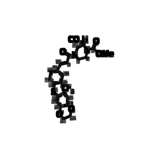 COC(=O)N1CCN(C(=O)C=Cc2ccc(Sc3ccc4c(c3)OCCO4)c(C(F)(F)F)c2)CC1C(=O)O